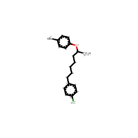 CCCCc1ccc(OC(CCCCCc2ccc(Cl)cc2)C(=O)O)cc1